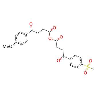 COc1ccc(C(=O)CCC(=O)OC(=O)CCC(=O)c2ccc(S(C)(=O)=O)cc2)cc1